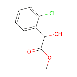 COC(=O)C(O)c1ccccc1Cl